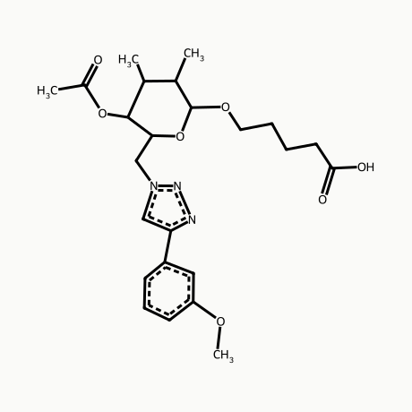 COc1cccc(-c2cn(CC3OC(OCCCCC(=O)O)C(C)C(C)C3OC(C)=O)nn2)c1